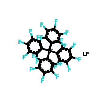 Fc1c(F)c(F)c([B-](c2c(F)c(F)c(F)c(F)c2F)(c2c(F)c(F)c(F)c(F)c2F)c2c(F)c(F)c(F)c(F)c2F)c(F)c1F.[Li+]